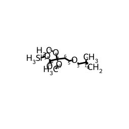 C=C(C)COCCC(OC)(OC)C(=O)O[SiH3]